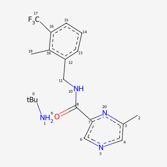 CC(C)(C)N.Cc1cncc(C(=O)NCc2cccc(C(F)(F)F)c2C)n1